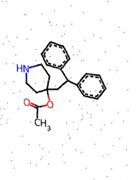 CC(=O)OC1(CC(c2ccccc2)c2ccccc2)CCNCC1